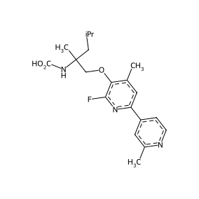 Cc1cc(-c2cc(C)c(OCC(C)(CC(C)C)NC(=O)O)c(F)n2)ccn1